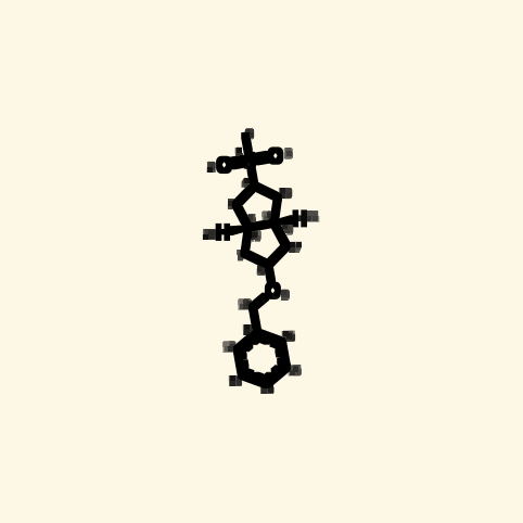 CS(=O)(=O)C1C[C@H]2CC(OCc3ccccc3)C[C@H]2C1